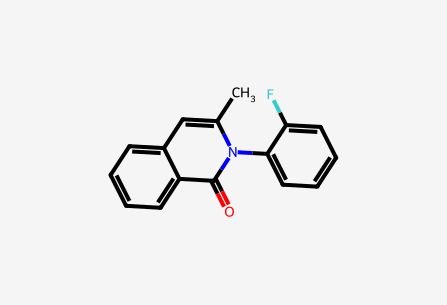 Cc1cc2ccccc2c(=O)n1-c1ccccc1F